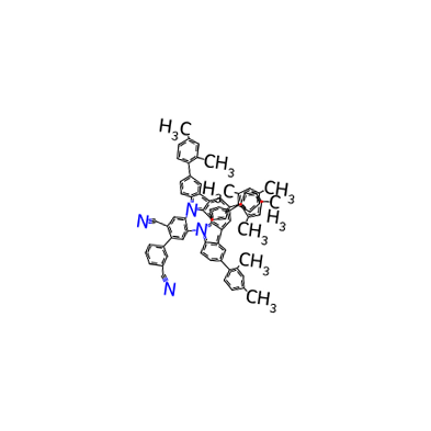 Cc1ccc(-c2ccc3c(c2)c2cc(-c4ccc(C)cc4C)ccc2n3-c2cc(C#N)c(-c3cccc(C#N)c3)cc2-n2c3ccc(-c4ccc(C)cc4C)cc3c3cc(-c4ccc(C)cc4C)ccc32)c(C)c1